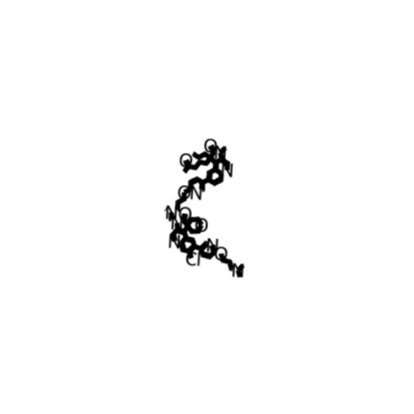 CCCC1(CCCC(C)=O)C(=O)N(C)c2cnc3ccc(-c4ccc(OCCCN(C)CN5C(=O)C6(CCOCC6)c6c5cnc5cc(Cl)c(-c7ccc(OCCCN(C)C)nc7)cc65)nc4)cc3c21